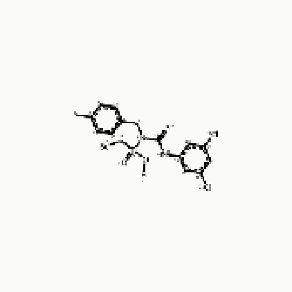 CCOP(=O)(SC(C)CC)N(Cc1ccc(C)cc1)C(=S)Nc1cc(Cl)cc(Cl)c1